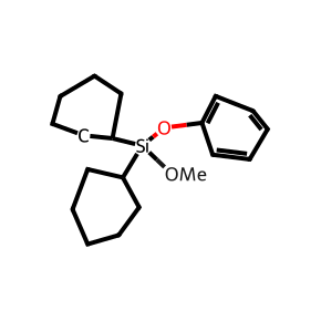 CO[Si](Oc1ccccc1)(C1CCCCC1)C1CCCCC1